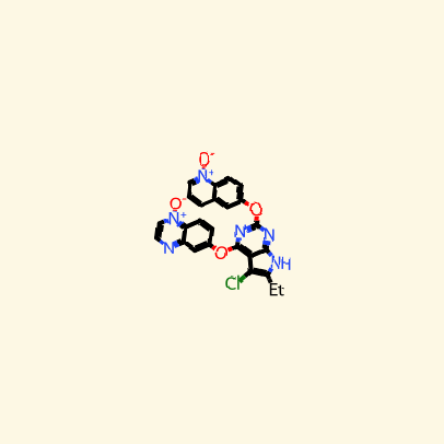 CCc1[nH]c2nc(Oc3ccc4c(ccc[n+]4[O-])c3)nc(Oc3ccc4c(c3)ncc[n+]4[O-])c2c1Cl